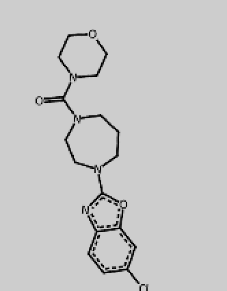 O=C(N1CCOCC1)N1CCCN(c2nc3ccc(Cl)cc3o2)CC1